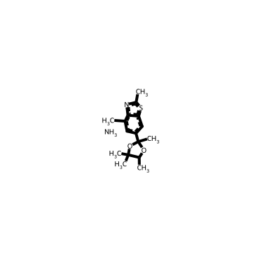 Cc1nc2c(C)cc(C3(C)OC(C)C(C)(C)O3)cc2s1.N